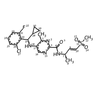 Cc1nc(C(=O)N[C@H](C)/C=C/S(C)(=O)=O)ncc1N[C@@H](c1c(F)cccc1Cl)C1CC1